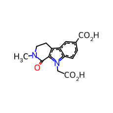 CN1CCc2c(n(CC(=O)O)c3ccc(C(=O)O)cc23)C1=O